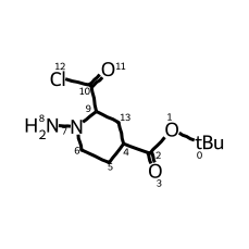 CC(C)(C)OC(=O)C1CCN(N)C(C(=O)Cl)C1